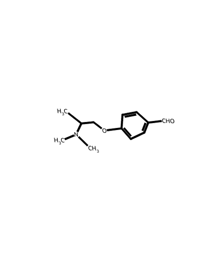 CC(COc1ccc(C=O)cc1)N(C)C